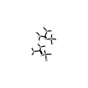 CC[Si](C)(C)N=C(N(C)C)N(C)C.CN(C)C(=N[Si](C)(C)C)N(C)C